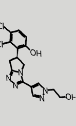 OCCn1cc(-c2nnc3n2C[C@H](c2c(O)ccc(Cl)c2Cl)C3)cn1